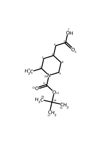 CC1CC(CC(=O)O)CCN1C(=O)OC(C)(C)C